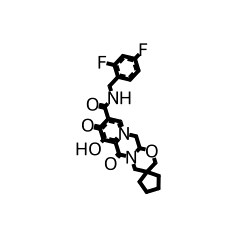 O=C(NCc1ccc(F)cc1F)c1cn2c(c(O)c1=O)C(=O)N1CC3(CCCC3)COC1C2